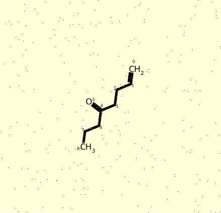 C=CCCC(=O)CCC